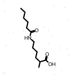 CCCCCC(=O)NCCCCC(C)C(=O)O